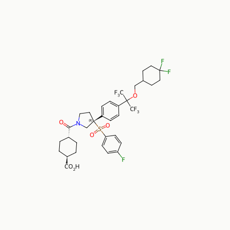 O=C(O)[C@H]1CC[C@H](C(=O)N2CC[C@](c3ccc(C(OCC4CCC(F)(F)CC4)(C(F)(F)F)C(F)(F)F)cc3)(S(=O)(=O)c3ccc(F)cc3)C2)CC1